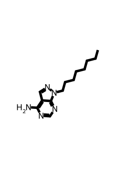 CCCCCCCCn1ncc2c(N)ncnc21